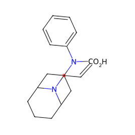 C=CCN1C2CCCC1CC(N(C(=O)O)c1ccccc1)C2